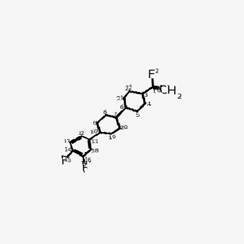 C=C(F)C1CCC(C2CCC(c3ccc(F)c(F)c3)CC2)CC1